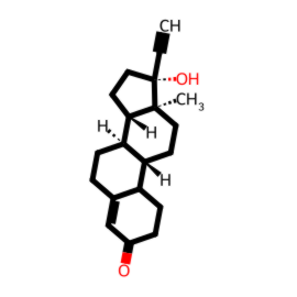 C#C[C@]1(O)CC[C@H]2[C@@H]3CCC4=CC(=O)CCC4[C@H]3CC[C@@]21C